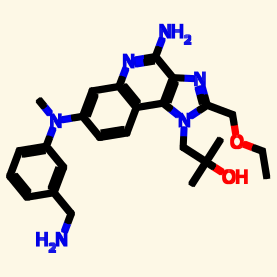 CCOCc1nc2c(N)nc3cc(N(C)c4cccc(CN)c4)ccc3c2n1CC(C)(C)O